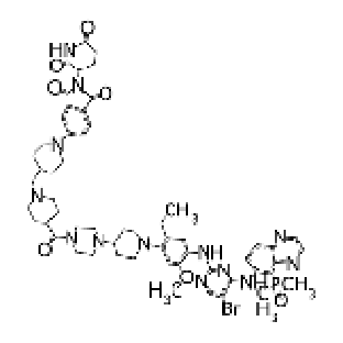 CCc1cc(Nc2ncc(Br)c(Nc3ccc4nccnc4c3P(C)(C)=O)n2)c(OC)cc1N1CCC(N2CCN(C(=O)C3CCN(CC4CCN(c5ccc6c(c5)C(=O)N(C5CCC(=O)NC5=O)C6=O)CC4)CC3)CC2)CC1